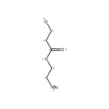 CCCCCCOC(=O)CC[O]